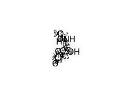 CC(C)OC(=O)[C@H](C)NPCC[C@@]1(F)O[C@H](n2ccc(=O)c#cc2=O)[C@@H](C)C1O